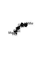 CNc1cccc(-c2cccc(NC(=O)c3cc(C)c(CN[C@@H](CO)C(=O)OC)cn3)c2C)c1C